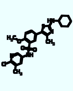 COc1ccc(-c2sc(NC3CCCCC3)nc2C)cc1S(=O)(=O)Nc1cnc(Cl)c(C)c1